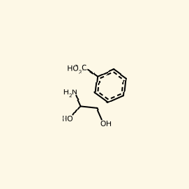 NC(O)CO.O=C(O)c1ccccc1